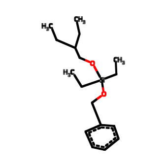 CCC(CC)CO[Si](CC)(CC)OCc1ccccc1